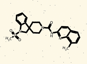 Cc1cccc2ccc(NC(=O)N3CCC4(CC3)CN(S(C)(=O)=O)c3ccccc34)nc12